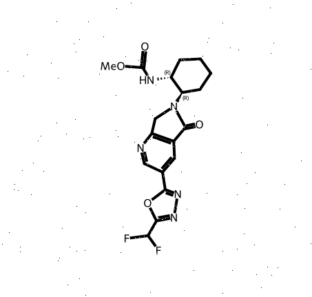 COC(=O)N[C@@H]1CCCC[C@H]1N1Cc2ncc(-c3nnc(C(F)F)o3)cc2C1=O